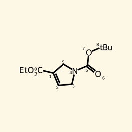 CCOC(=O)C1=CCN(C(=O)OC(C)(C)C)C1